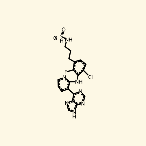 O=[SH](=O)NCCCc1ccc(Cl)c(Nc2ncccc2-c2ncnc3[nH]cnc23)c1F